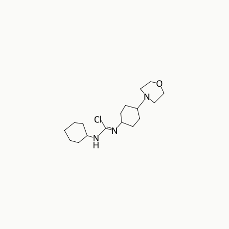 ClC(=NC1CCC(N2CCOCC2)CC1)NC1CCCCC1